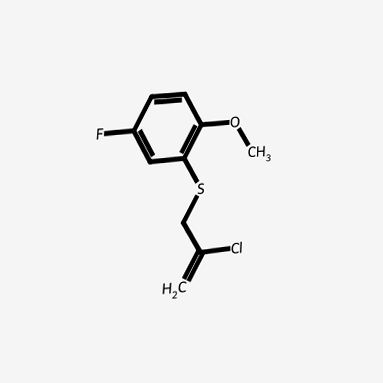 C=C(Cl)CSc1cc(F)ccc1OC